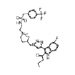 CCCC(=O)c1[nH]c2ccc(F)cc2c1-c1cn(CC2CCN(CCNS(=O)(=O)Cc3ccc(C(F)(F)F)cc3)CC2)nn1